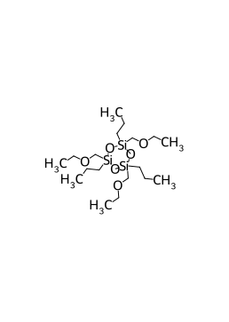 CCC[Si]1(COCC)O[Si](CCC)(COCC)O[Si](CCC)(COCC)O1